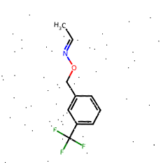 CC=NOCc1cccc(C(F)(F)F)c1